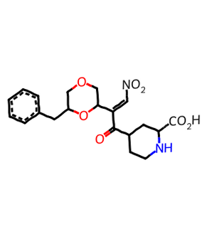 O=C(/C(=C/[N+](=O)[O-])C1COCC(Cc2ccccc2)O1)C1CCNC(C(=O)O)C1